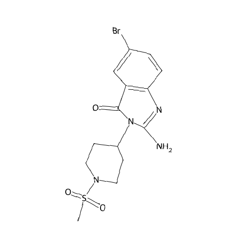 CS(=O)(=O)N1CCC(n2c(N)nc3ccc(Br)cc3c2=O)CC1